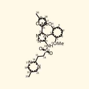 COc1cccc(OC)c1-n1c(NS(=O)(=O)CCc2ncc(C)cn2)nnc1-c1ccc(C)o1